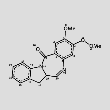 COOc1cc2c(cc1OC)C(=O)N1c3ccccc3CC1C=N2